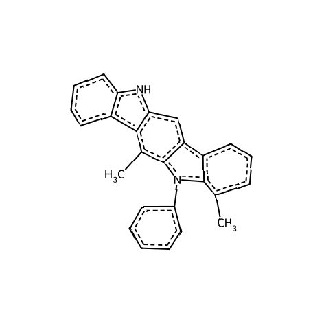 Cc1cccc2c3cc4[nH]c5ccccc5c4c(C)c3n(-c3ccccc3)c12